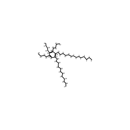 CCCCCCCCCCCCCCc1c(CCCCCCCCCCCC)cc(CCCC)c(CCCC)c1CCCC